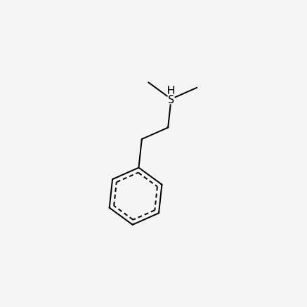 C[SH](C)CCc1ccccc1